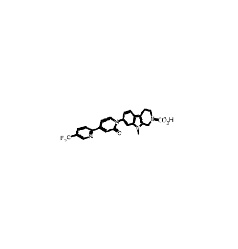 Cn1c2c(c3ccc(-n4ccc(-c5ccc(C(F)(F)F)cn5)cc4=O)cc31)CCN(C(=O)O)C2